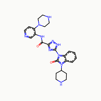 O=C(Nc1cnccc1N1CCNCC1)c1n[nH]c(-n2c(=O)n(C3CCNCC3)c3ccccc32)n1